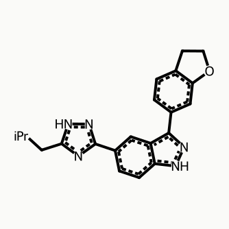 CC(C)Cc1nc(-c2ccc3[nH]nc(-c4ccc5c(c4)OCC5)c3c2)n[nH]1